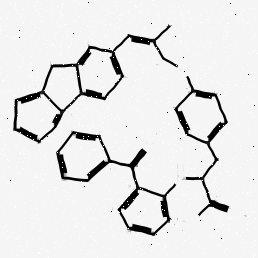 CCC(=Cc1ccc2c(c1)Cc1ccccc1-2)COc1ccc(CC(Nc2ccccc2C(=O)c2ccccc2)C(=O)OC)cc1